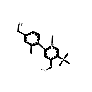 Cc1cc(CC(C)C)ccc1-c1cc(CC(C)(C)C)c([Si](C)(C)C)c[n+]1C